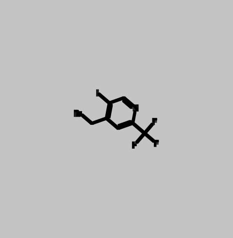 FC(F)(F)c1cc(CBr)c(I)cn1